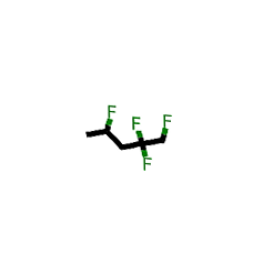 CC(F)CC(F)(F)CF